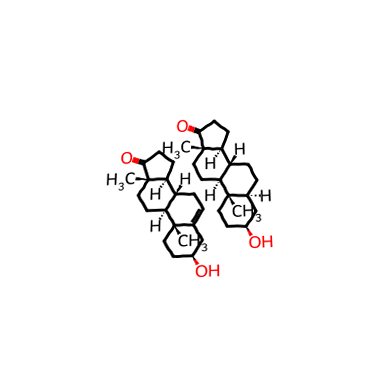 C[C@]12CC[C@H](O)CC1=CC[C@@H]1[C@@H]2CC[C@]2(C)C(=O)CC[C@@H]12.C[C@]12CC[C@H](O)C[C@@H]1CC[C@@H]1[C@@H]2CC[C@]2(C)C(=O)CC[C@@H]12